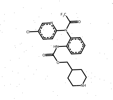 O=C(Nc1ccccc1N(C(=O)C(F)(F)F)c1ccc(Cl)cn1)OCC1CCNCC1